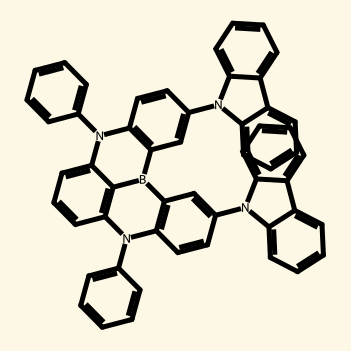 c1ccc(N2c3ccc(-n4c5ccccc5c5ccccc54)cc3B3c4cc(-n5c6ccccc6c6ccccc65)ccc4N(c4ccccc4)c4cccc2c43)cc1